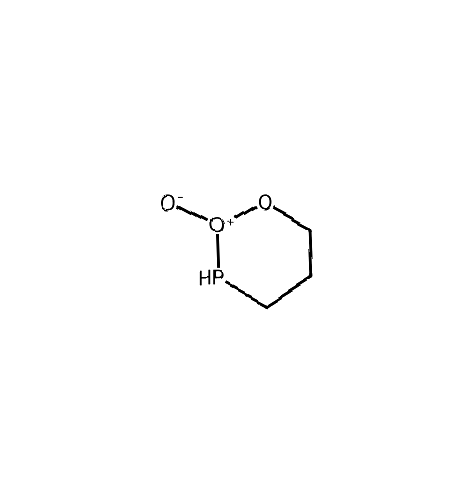 [O-][O+]1OCCCP1